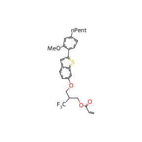 C=CC(=O)OCC(COc1ccc2cc(-c3ccc(CCCCC)cc3OC)sc2c1)C(F)(F)F